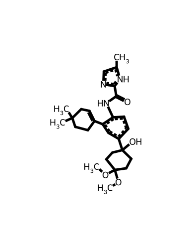 COC1(OC)CCC(O)(c2ccc(NC(=O)c3ncc(C)[nH]3)c(C3=CCC(C)(C)CC3)c2)CC1